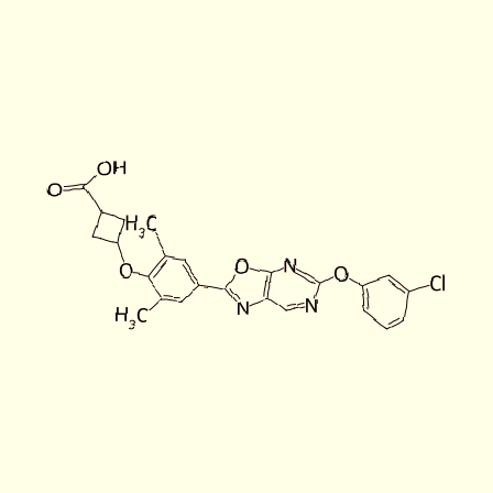 Cc1cc(-c2nc3cnc(Oc4cccc(Cl)c4)nc3o2)cc(C)c1OC1CC(C(=O)O)C1